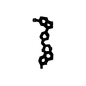 Cc1ccc2c3c(ccc2n1)OCC(CN1CC=C(c2csc4ccc(Cl)cc24)CC1)O3